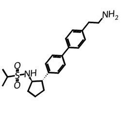 CC(C)S(=O)(=O)N[C@@H]1CCC[C@H]1c1ccc(-c2ccc(CCN)cc2)cc1